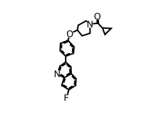 O=C(C1CC1)N1CCC(Oc2ccc(-c3cnc4cc(F)ccc4c3)cc2)CC1